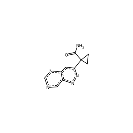 NC(=O)C1(c2cc3ncncc3nn2)CC1